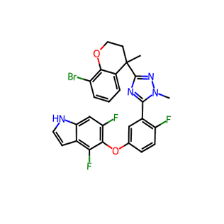 Cn1nc(C2(C)CCOc3c(Br)cccc32)nc1-c1cc(Oc2c(F)cc3[nH]ccc3c2F)ccc1F